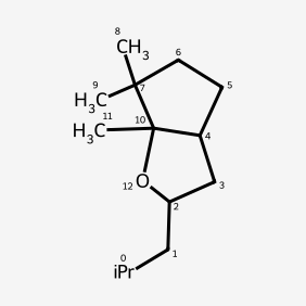 CC(C)CC1CC2CCC(C)(C)C2(C)O1